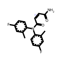 Cc1cc(F)ccc1N(C(=O)/C=C\C(N)=O)c1ccc(F)cc1C